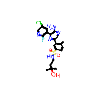 Cc1ccc(S(=O)(=O)NCCC(C)(C)O)cc1-c1cnc(N)c(-c2cc(Cl)cnc2F)n1